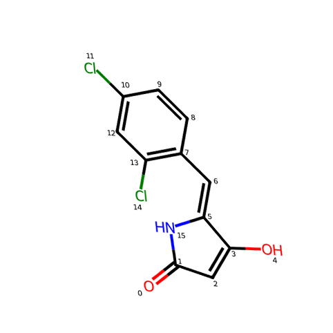 O=C1C=C(O)C(=Cc2ccc(Cl)cc2Cl)N1